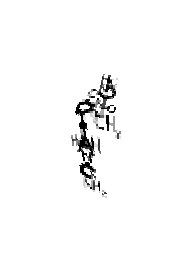 Cn1c(=O)n(C2CCC(=O)NC2=O)c2cccc(C#CC3[C@H]4CN(c5ccc(N)nc5)C[C@@H]34)c21